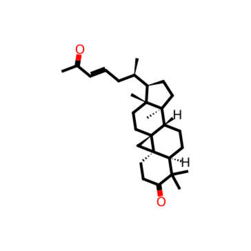 CC(=O)/C=C/C[C@@H](C)[C@H]1CC[C@@]2(C)[C@@H]3CC[C@H]4C(C)(C)C(=O)CC[C@@]45C[C@@]35CC[C@]12C